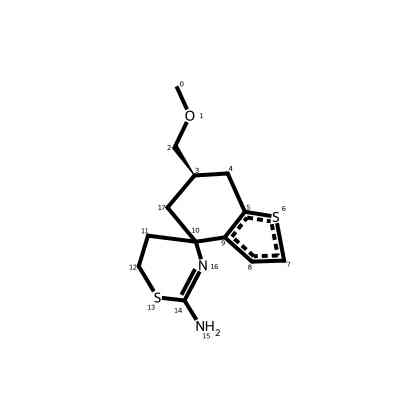 COC[C@H]1Cc2sccc2C2(CCSC(N)=N2)C1